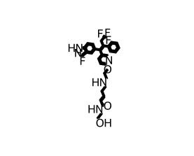 O=C(/C=C/CCNCCOc1ccc(/C(=C(/CC(F)(F)F)c2ccccc2)c2ccc3[nH]nc(F)c3c2)cn1)NCCO